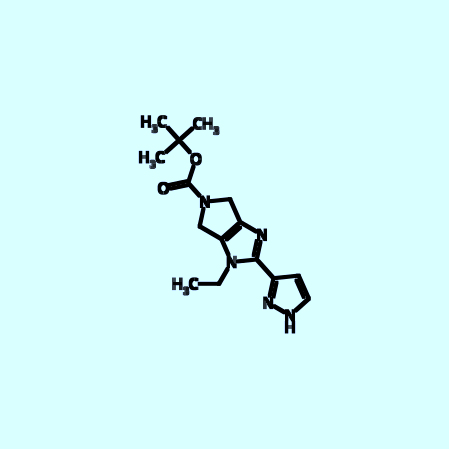 CCn1c(-c2cc[nH]n2)nc2c1CN(C(=O)OC(C)(C)C)C2